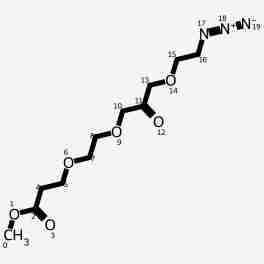 COC(=O)CCOCCOCC(=O)COCCN=[N+]=[N-]